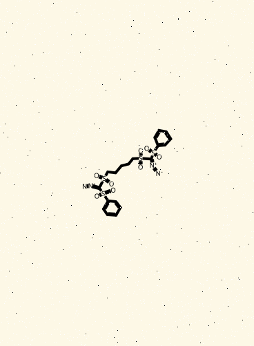 [N-]=[N+]=C(S(=O)(=O)CCCCCS(=O)(=O)C(=[N+]=[N-])S(=O)(=O)c1ccccc1)S(=O)(=O)c1ccccc1